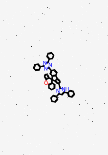 C1=CCCC(c2nc(-c3ccccc3)nc(-c3ccc4c(c3)C3(C5=C(CCC=C5)Oc5ccccc53)c3cc(C5N=C(C6=CCCC=C6)C=C(c6ccccc6)N5)ccc3-4)n2)=C1